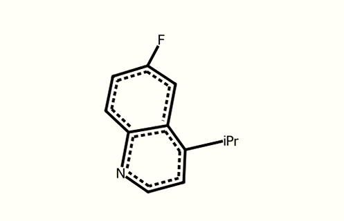 CC(C)c1ccnc2ccc(F)cc12